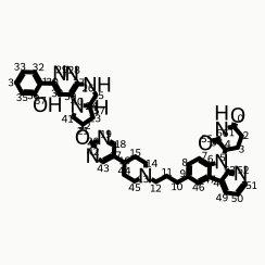 O=C1CCC(n2c3ccc(CCCN4CCC(c5cnc(O[C@H]6C[C@@H]7CNc8nnc(-c9ccccc9O)cc8N7C6)nc5)CC4)cc3c3cccnc32)C(=O)N1